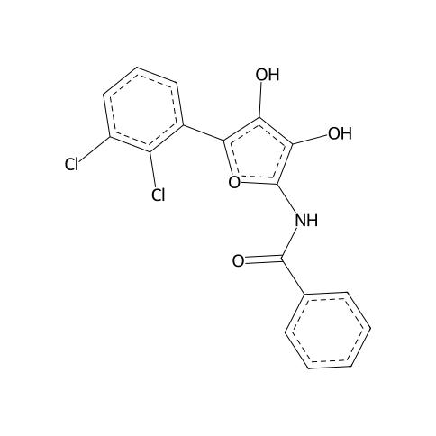 O=C(Nc1oc(-c2cccc(Cl)c2Cl)c(O)c1O)c1ccccc1